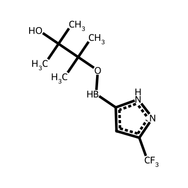 CC(C)(O)C(C)(C)OBc1cc(C(F)(F)F)n[nH]1